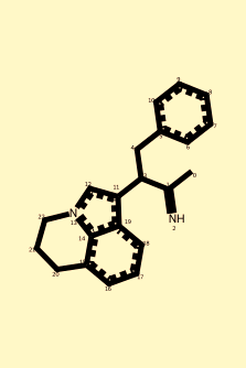 CC(=N)C(Cc1ccccc1)c1cn2c3c(cccc13)CCC2